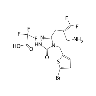 NCC(Cc1n[nH]c(=O)n1Cc1ccc(Br)s1)=C(F)F.O=C(O)C(F)(F)F